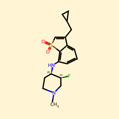 CN1CC[C@@H](Nc2cccc3c2S(=O)(=O)C=C3CC2CC2)[C@@H](F)C1